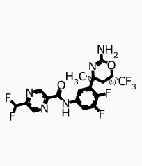 C[C@@]1(c2cc(NC(=O)c3cnc(C(F)F)cn3)cc(F)c2F)C[C@@H](C(F)(F)F)OC(N)=N1